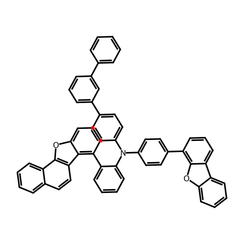 c1ccc(-c2cccc(-c3ccc(N(c4ccc(-c5cccc6c5oc5ccccc56)cc4)c4ccccc4-c4cccc5oc6c7ccccc7ccc6c45)cc3)c2)cc1